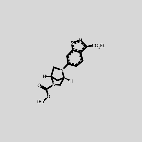 CCOC(=O)c1nsc2cc(N3C[C@@H]4C[C@H]3CN4C(=O)OC(C)(C)C)ccc12